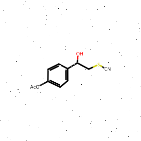 CC(=O)Oc1ccc(C(O)CSC#N)cc1